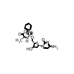 CC(C)COC(=O)[C@H](C)NP(=O)(OC[C@H]1S[C@@H](n2ccc(N)nc2=O)CC1O)Oc1ccccc1